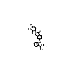 CCN(C)[C@H]1CCCC[C@@H]1Oc1ccc2c(c1)CN(C1CCC(=O)NC1=O)C2=O